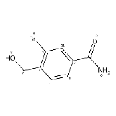 NC(=O)c1ccc(CO)c(Br)c1